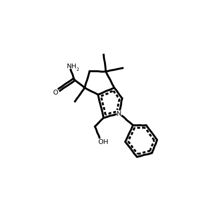 CC1(C)CC(C)(C(N)=O)c2c1cn(-c1ccccc1)c2CO